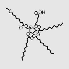 CCCCCCCCCCC(=O)OC[C@H]1O[C@@H](OCCCCC(=O)O)[C@H](OC(=O)CCCCCCCCCC)[C@@H](OC(=O)CCCCCCCCCC)[C@@H]1OC(=O)CCCCCCCCCC